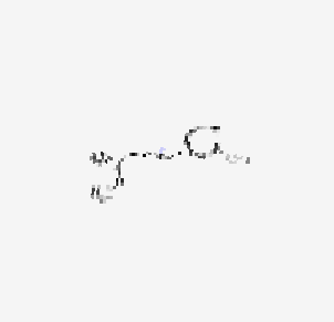 CO[C@@H](C)CC/C=C/c1cccc(C)c1